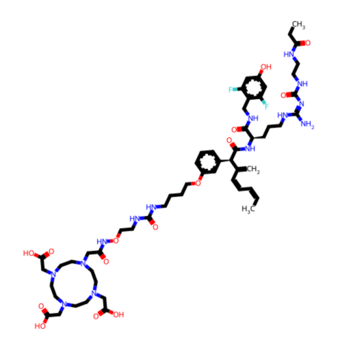 C=C(/C=C\C=C/C)[C@H](C(=O)N[C@H](CCCN/C(N)=N\C(=O)NCCNC(=O)CC)C(=O)NCc1c(F)cc(O)cc1F)c1cccc(OCCCCNC(=O)NCCONC(=O)CN2CCN(CC(=O)O)CCN(CC(=O)O)CCN(CC(=O)O)CC2)c1